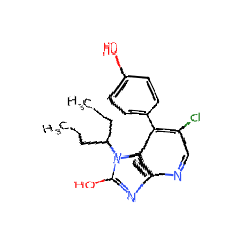 CCC(CC)n1c(O)nc2ncc(Cl)c(-c3ccc(O)cc3)c21